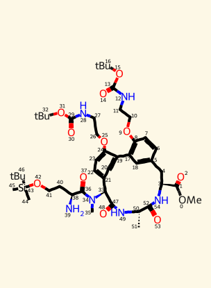 COC(=O)[C@@H]1Cc2ccc(OCCNC(=O)OC(C)(C)C)c(c2)-c2cc(ccc2OCCNC(=O)OC(C)(C)C)[C@H](N(C)C(=O)[C@@H](N)CCO[Si](C)(C)C(C)(C)C)C(=O)N[C@@H](C)C(=O)N1